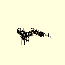 COc1ccc2nc(Nc3ccc(C(=O)N4CCC(N5CCN(C)CC5)CC4)cc3)c3n[nH]cc3c2c1